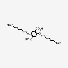 CCCCCCCCCCCCCCCCOc1cc(C(=O)O)c(OCCCCCCCCCCCCCCCC)cc1C(=O)O